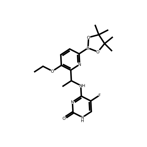 CCOc1ccc(B2OC(C)(C)C(C)(C)O2)nc1C(C)Nc1nc(=O)[nH]cc1F